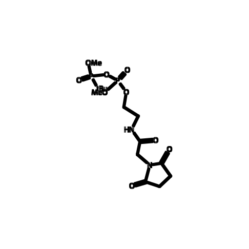 COP(=O)(OCCNC(=O)CN1C(=O)CCC1=O)OP(=O)(OC)C(C)(C)C